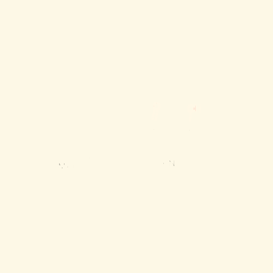 COc1ccc(C(=O)/C(C#N)=C(/C)O)cc1